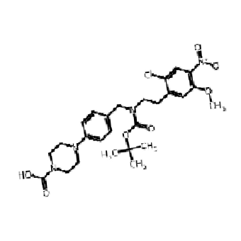 COc1cc(CCN(Cc2ccc(N3CCN(C(=O)O)CC3)cc2)C(=O)OC(C)(C)C)c(Cl)cc1[N+](=O)[O-]